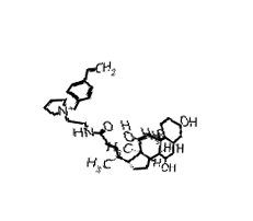 C=Cc1ccc(C[N+]2(CCNC(=O)CC[C@@H](C)[C@H]3CC[C@H]4[C@@H]5[C@H](O)C[C@@H]6C[C@H](O)CC[C@]6(C)[C@H]5C[C@H](O)[C@]34C)CCCC2)cc1